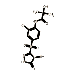 CC(C)n1c(S(=O)(=O)c2ccc(NC(=O)[C@@](C)(O)C(F)(F)F)c(Cl)c2)n[nH]c1=O